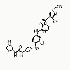 N#CCn1cc(-c2cnc3c(Nc4ccc(C(=O)N5CC(NC(=O)N[C@@H]6CCNC6)C5)c(Cl)c4)nccn23)c(C(F)(F)F)n1